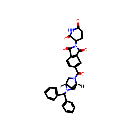 O=C1CCC(N2C(=O)c3ccc(C(=O)N4C[C@@H]5C[C@H]4CN5C(c4ccccc4)c4ccccc4)cc3C2=O)C(=O)N1